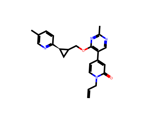 C=CCn1ccc(-c2cnc(C)nc2OCC2C[C@H]2c2ccc(C)cn2)cc1=O